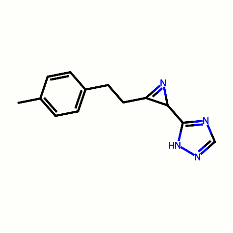 Cc1ccc(CCC2=NC2c2ncn[nH]2)cc1